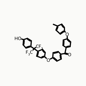 Cc1ccc(Oc2ccc(C(=O)c3ccc(Oc4ccc(C(c5ccc(O)cc5)(C(F)(F)F)C(F)(F)F)cc4)cc3)cc2)cc1